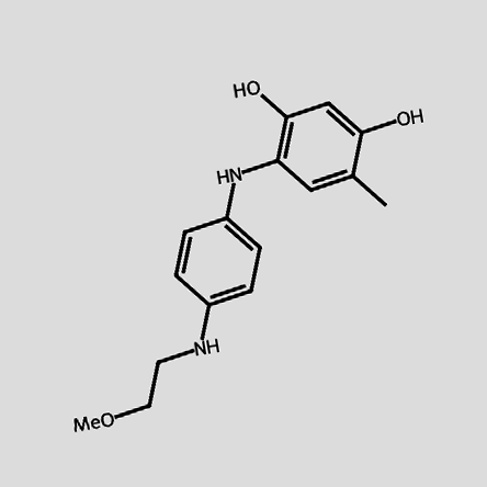 COCCNc1ccc(Nc2cc(C)c(O)cc2O)cc1